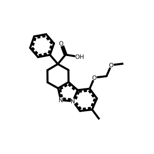 COCOc1cc(C)cn2nc3c(c12)CC(C(=O)O)(c1ccccc1)CC3